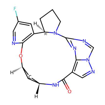 O=C1N[C@H]2C[C@@H](C2)Oc2ncc(F)cc2[C@H]2CCCN2c2ncn3ncc1c3n2